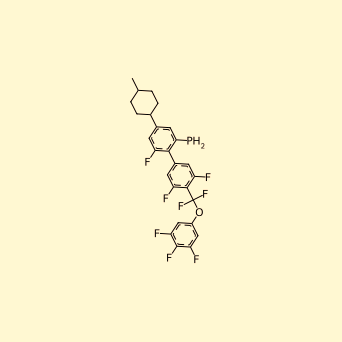 CC1CCC(c2cc(F)c(-c3cc(F)c(C(F)(F)Oc4cc(F)c(F)c(F)c4)c(F)c3)c(P)c2)CC1